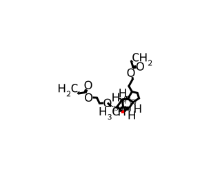 C=CC(=O)OCCOC[C@H]1C[C@H]2[C@@H](C)[C@H]1[C@H]1C(CCOC(=O)C=C)CC[C@@H]21